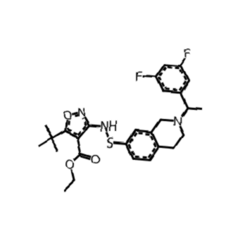 CCOC(=O)c1c(NSc2ccc3c(c2)CN(C(C)c2cc(F)cc(F)c2)CC3)noc1C(C)(C)C